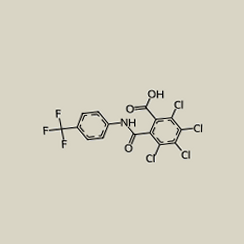 O=C(O)c1c(Cl)c(Cl)c(Cl)c(Cl)c1C(=O)Nc1ccc(C(F)(F)F)cc1